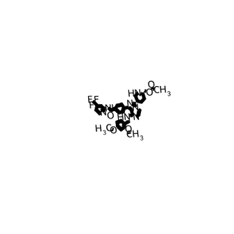 COc1ccc(CNc2nccn3c([C@H]4CC[C@@H](COC(C)=O)NC4)nc(-c4ccc(C(=O)Nc5cc(C(F)(F)F)ccn5)cc4)c23)c(OC)c1